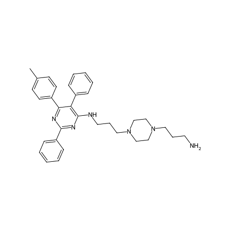 Cc1ccc(-c2nc(-c3ccccc3)nc(NCCCN3CCN(CCCN)CC3)c2-c2ccccc2)cc1